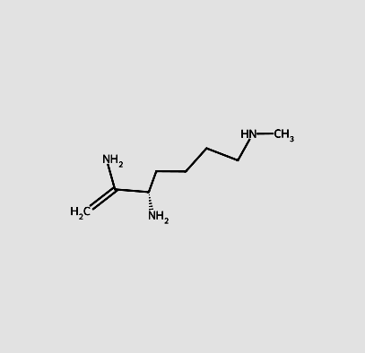 C=C(N)[C@@H](N)CCCCNC